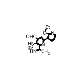 CCOc1ncccc1-c1cc(C=O)c(NC(C)C)c(C(C)=N)n1